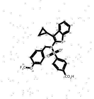 O=C(O)c1ccc(S(=O)(=O)N(Cc2ccc(OC(F)(F)F)cc2)c2sc3ccccc3c2C2CC2)cc1